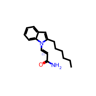 CCCCCCc1cc2ccccc2n1/C=C/C(N)=O